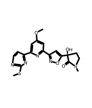 COc1cc(-c2cc([C@]3(O)CCN(C)C3=O)on2)nc(-c2ccnc(SC)n2)c1